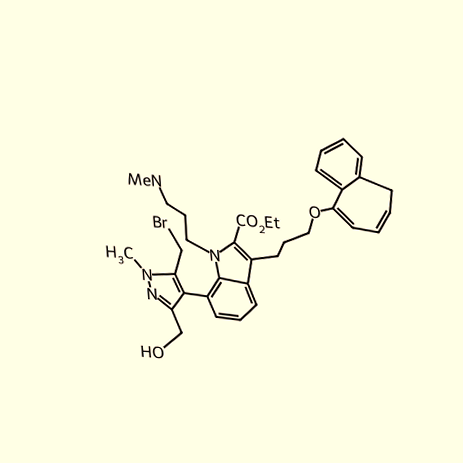 CCOC(=O)c1c(CCCOC2=CC=CCc3ccccc32)c2cccc(-c3c(CO)nn(C)c3CBr)c2n1CCCNC